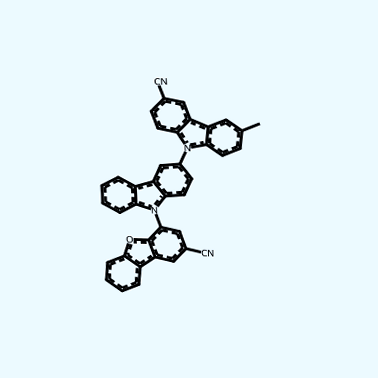 Cc1ccc2c(c1)c1cc(C#N)ccc1n2-c1ccc2c(c1)c1ccccc1n2-c1cc(C#N)cc2c1oc1ccccc12